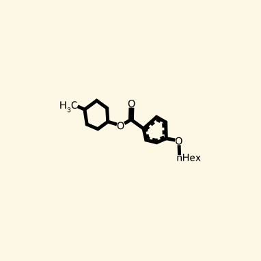 CCCCCCOc1ccc(C(=O)OC2CCC(C)CC2)cc1